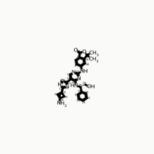 CC1(C)OC(=O)c2ccc(Nc3ncc(-c4nc(C56CC(N)(C5)C6)no4)c(N[C@H](CO)c4ccccc4)n3)cc21